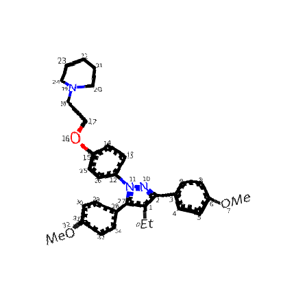 CCc1c(-c2ccc(OC)cc2)nn(-c2ccc(OCCN3CCCCC3)cc2)c1-c1ccc(OC)cc1